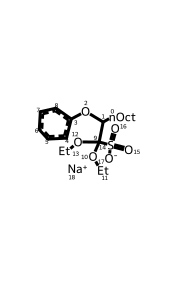 CCCCCCCCC(Oc1ccccc1)C(OCC)(OCC)S(=O)(=O)[O-].[Na+]